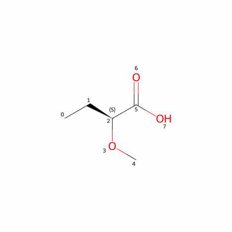 CC[C@H](OC)C(=O)O